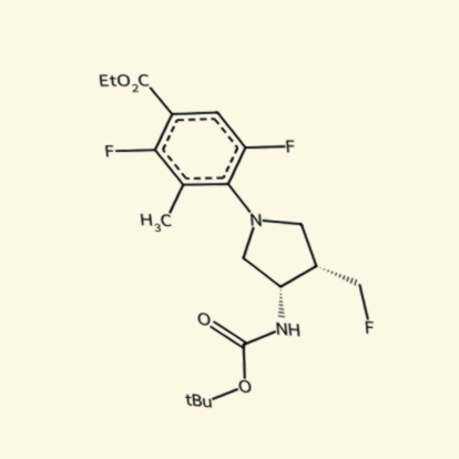 CCOC(=O)c1cc(F)c(N2C[C@H](CF)[C@H](NC(=O)OC(C)(C)C)C2)c(C)c1F